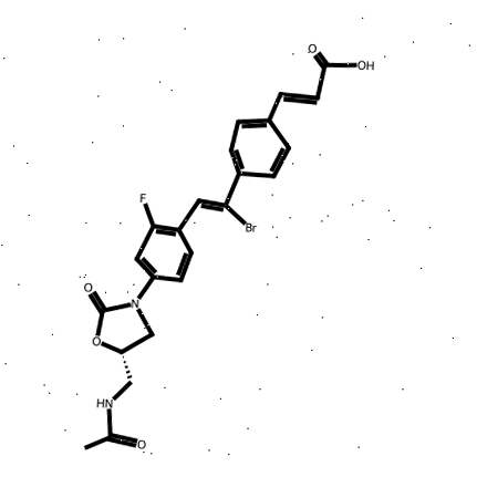 CC(=O)NC[C@H]1CN(c2ccc(C=C(Br)c3ccc(C=CC(=O)O)cc3)c(F)c2)C(=O)O1